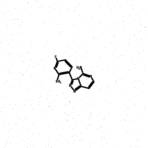 Cc1nc(F)ccc1-c1nnc2ccnc(N)n12